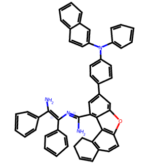 N/C(=N\C(=C(/N)c1ccccc1)c1ccccc1)c1cc(-c2ccc(N(c3ccccc3)c3ccc4ccccc4c3)cc2)cc2oc3ccc4c(c3c12)CCC=C4